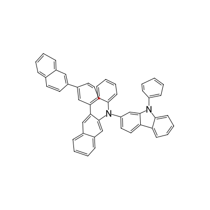 c1ccc(N(c2ccc3c4ccccc4n(-c4ccccc4)c3c2)c2cc3ccccc3cc2-c2cccc(-c3ccc4ccccc4c3)c2)cc1